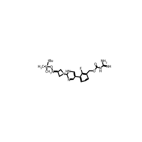 CC(C)(C)[Si](C)(C)ON=C1CN(C2N=CC(c3cccc(COC(=O)NC(=N)N)c3F)=CN2)C1